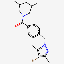 Cc1nn(Cc2ccc(C(=O)N3CC(C)CC(C)C3)cc2)c(C)c1Br